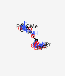 CC[C@@H]1C(=O)N(C)c2cnc(Nc3ccc(C(=O)NC4CCC(NCCOCCC#Cc5cccc6c5CN(C5CCC(=O)N(COC(=O)[C@@H](NC(=O)[C@@H]7CCCN7C(=O)[C@@H](NC(=O)[C@@H](N)C(C)C)C(C)C)C(C)C)C5=O)C6=O)CC4)cc3OC)nc2N1C1CCCC1